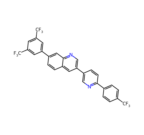 FC(F)(F)c1ccc(-c2ccc(-c3cnc4cc(-c5cc(C(F)(F)F)cc(C(F)(F)F)c5)ccc4c3)cn2)cc1